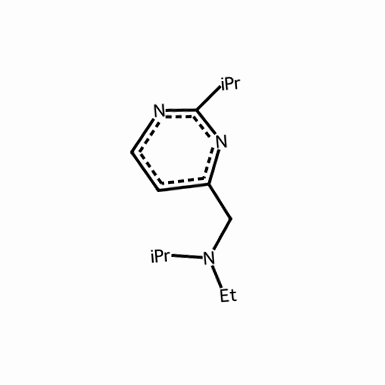 CCN(Cc1ccnc(C(C)C)n1)C(C)C